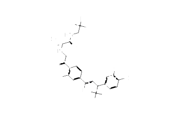 C[C@@H](NCC(=O)c1ccc(/C(F)=C/C(c2ccc(Cl)c(Cl)c2)C(F)(F)F)cc1Br)C(=O)NCC(F)(F)F